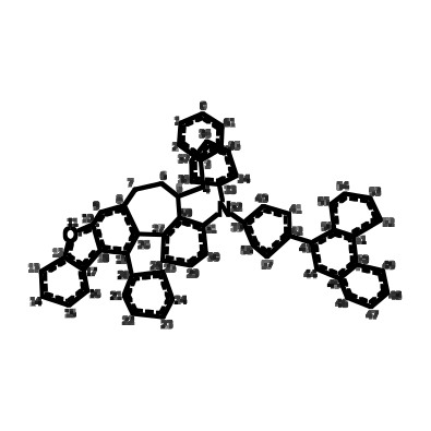 c1ccc(CC2CCc3cc4oc5ccccc5c4c(-c4ccccc4)c3-c3cccc(N(c4ccccc4)c4ccc(-c5cc6ccccc6c6ccccc56)cc4)c32)cc1